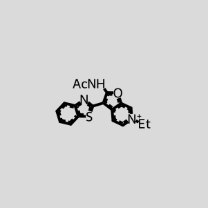 CC[n+]1ccc2c(-c3nc4ccccc4s3)c(NC(C)=O)oc2c1